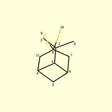 CC(C)C1C2CC1CC(F)(F)C2